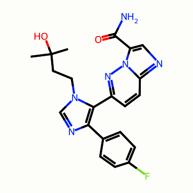 CC(C)(O)CCn1cnc(-c2ccc(F)cc2)c1-c1ccc2ncc(C(N)=O)n2n1